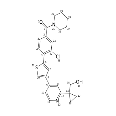 O=C(c1ccc(-c2cc(-c3ccnc(C4(CO)CC4)c3)cs2)c(Cl)c1)N1CC[CH]CC1